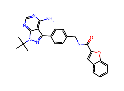 CC(C)(C)n1nc(-c2ccc(CNC(=O)c3cc4ccccc4o3)cc2)c2c(N)ncnc21